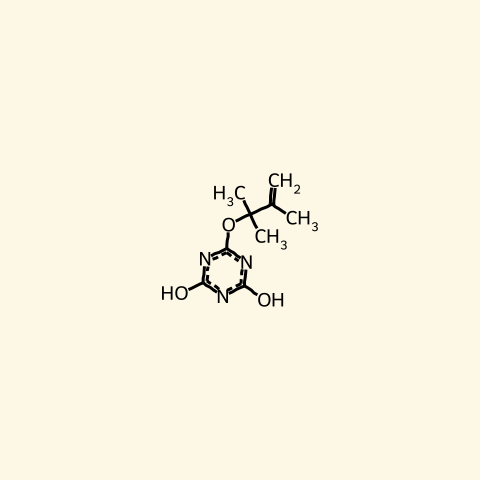 C=C(C)C(C)(C)Oc1nc(O)nc(O)n1